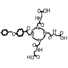 O=C(O)CNC(=O)CN1CCN(CC(=O)NCC(=O)O)CCN(CC(=O)c2ccc(OCc3ccccc3)cc2)CCN(CC(=O)NCC(=O)O)CC1